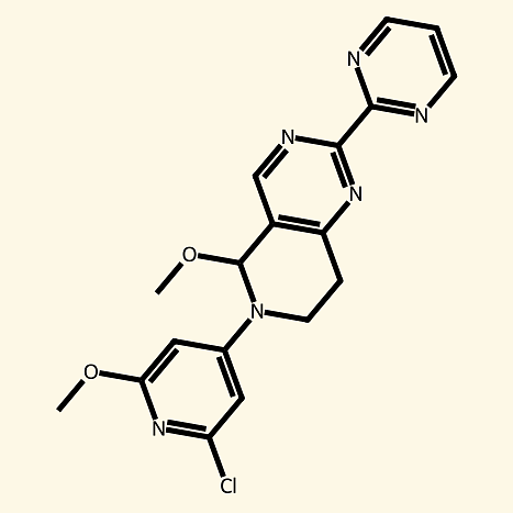 COc1cc(N2CCc3nc(-c4ncccn4)ncc3C2OC)cc(Cl)n1